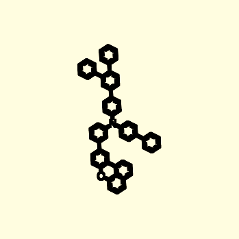 c1ccc(-c2ccc(N(c3ccc(-c4ccc(-c5ccccc5)c(-c5ccccc5)c4)cc3)c3cccc(-c4ccc5c(c4)-c4cccc6cccc(c46)O5)c3)cc2)cc1